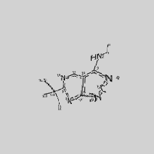 CCNc1ncnc2nc(C(C)(C)C)ncc12